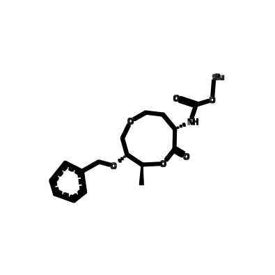 C[C@@H]1OC(=O)[C@@H](NC(=O)OC(C)(C)C)CCOC[C@H]1OCc1ccccc1